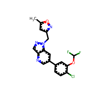 Cc1cc(Cn2ncc3ncc(-c4ccc(Cl)c(OC(F)F)c4)cc32)no1